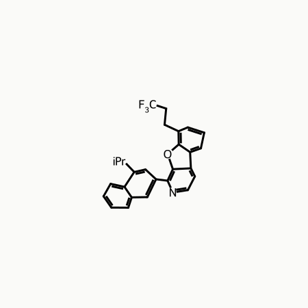 CC(C)c1cc(-c2nccc3c2oc2c(CCC(F)(F)F)cccc23)cc2ccccc12